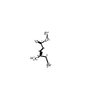 CCOC(=O)CC=C(C)CBr